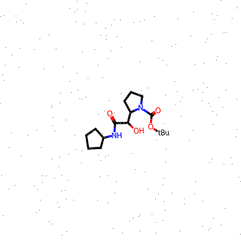 CC(C)(C)OC(=O)N1CCCC1C(O)C(=O)NC1CCCC1